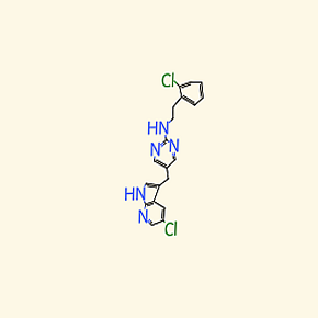 Clc1cnc2[nH]cc(Cc3cnc(NCCc4ccccc4Cl)nc3)c2c1